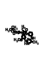 C=CC(=O)Nc1cccc(Nc2nc(Nc3ccc(NC4CN(C(=O)OC(C)(C)C)C4)cc3OC)ncc2C)c1